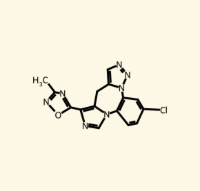 Cc1noc(-c2ncn3c2Cc2cnnn2-c2cc(Cl)ccc2-3)n1